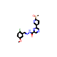 COc1ccc(F)c(/C=N/NC(=O)c2cncc(-c3ccc([S+](C)[O-])nc3)n2)c1